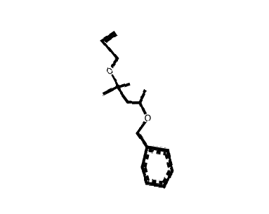 C=CCOC(C)(C)CC(C)OCc1ccccc1